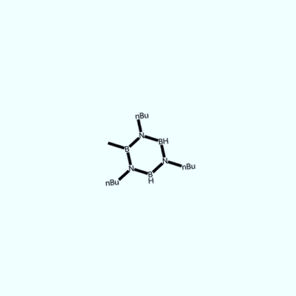 CCCCN1BN(CCCC)B(C)N(CCCC)B1